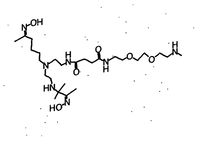 CNCCOCCOCCNC(=O)CCC(=O)NCCN(CCCC/C(C)=N\O)CCNC(C)(C)/C(C)=N\O